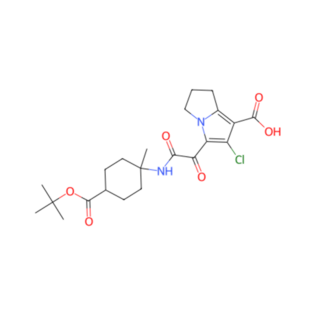 CC1(NC(=O)C(=O)c2c(Cl)c(C(=O)O)c3n2CCC3)CCC(C(=O)OC(C)(C)C)CC1